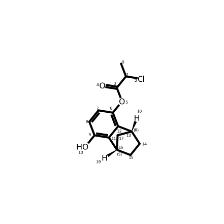 CC(Cl)C(=O)Oc1ccc(O)c2c1[C@@H]1CC[C@H]2C1